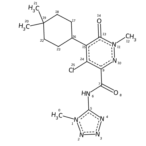 Cn1nnnc1NC(=O)c1nn(C)c(=O)c(C2CCC(C)(C)CC2)c1Cl